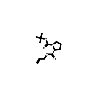 C=CCOC(=O)[C@@H]1CCCN1C(=O)OC(C)(C)C